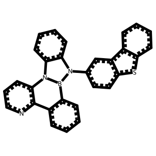 c1ccc2c(c1)B1N(c3ccc4sc5ccccc5c4c3)c3ccccc3N1c1cccnc1-2